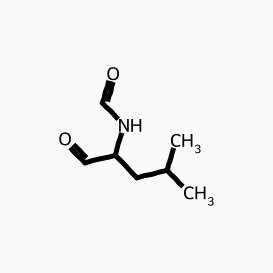 CC(C)CC(C=O)NC=O